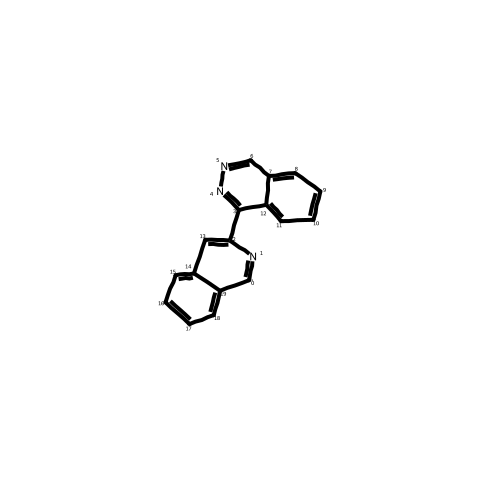 [c]1nc(-c2nncc3ccccc23)cc2ccccc12